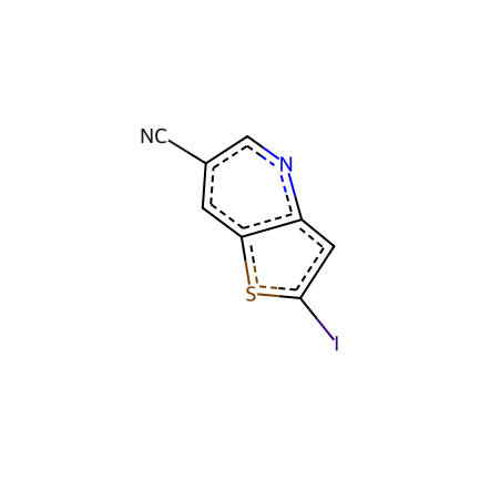 N#Cc1cnc2cc(I)sc2c1